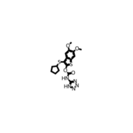 COc1cc2sc(OC(=O)Nc3nnn[nH]3)c(SC3CCCC3)c2cc1OC